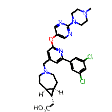 CN1CCN(c2ncc(Oc3cc(CN4CC[C@@H]5[C@H](CC4)[C@H]5CC(=O)O)cc(-c4cc(Cl)cc(Cl)c4)n3)cn2)CC1